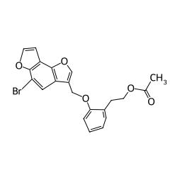 CC(=O)OCCc1ccccc1OCc1coc2c1cc(Br)c1occc12